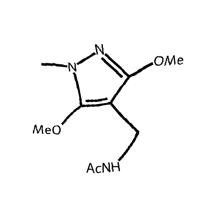 COc1nn(C)c(OC)c1CNC(C)=O